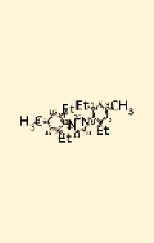 CCc1cc(C)cc(CC)c1N1C=CN(c2c(CC)cc(C)cc2CC)C1